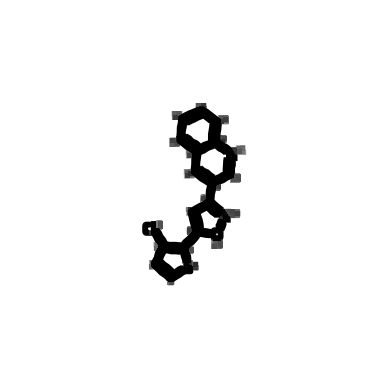 Clc1ccsc1-c1cc(-c2cnc3ccccc3c2)no1